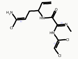 C=CC(C/C=C(\N)Cl)NC(=O)/C(=N/C)N/C(Cl)=C/Cl